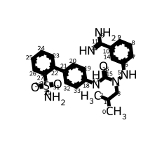 CC(C)CN(Nc1cccc(C(=N)N)c1)C(=O)Nc1ccc(-c2ccccc2S(N)(=O)=O)cc1